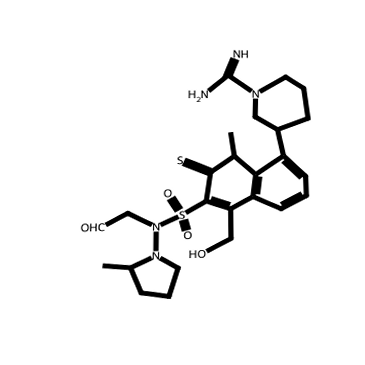 CC1C(=S)C(S(=O)(=O)N(CC=O)N2CCCC2C)=C(CO)c2cccc(C3CCCN(C(=N)N)C3)c21